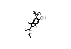 CCOC(=O)c1oc2cc(O)c([N+](=O)[O-])cc2c1C